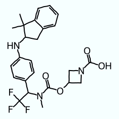 CN(C(=O)OC1CN(C(=O)O)C1)C(c1ccc(NC2Cc3ccccc3C2(C)C)cc1)C(F)(F)F